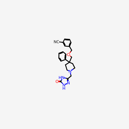 N#Cc1cccc(COCC2(c3ccccc3)CCN(Cc3n[nH]c(=O)[nH]3)CC2)c1